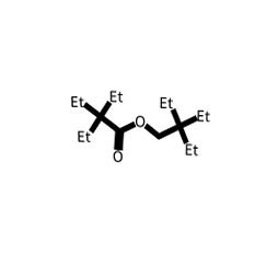 CCC(CC)(CC)COC(=O)C(CC)(CC)CC